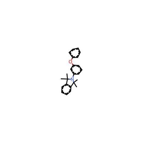 CC1(C)c2ccccc2C(C)(C)N1c1cccc(Oc2ccccc2)c1